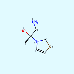 C[C@@](O)(CN)N1C=[C]SC1